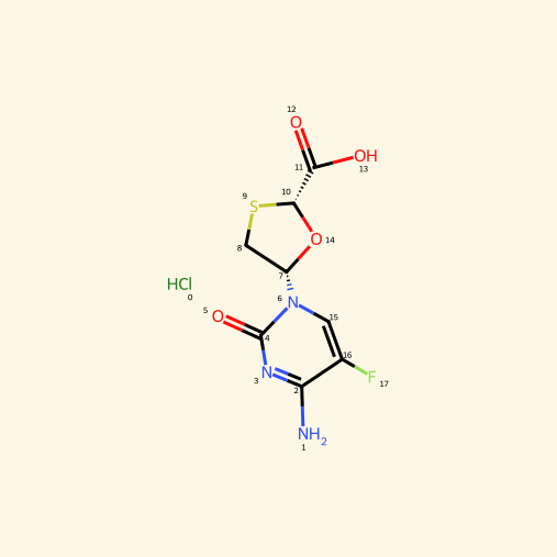 Cl.Nc1nc(=O)n([C@@H]2CS[C@H](C(=O)O)O2)cc1F